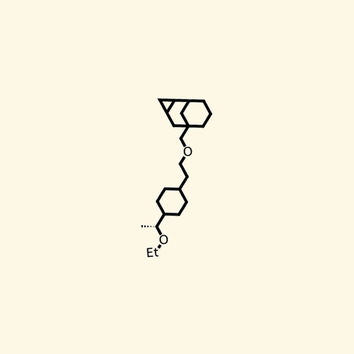 CCO[C@H](C)C1CCC(CCOCC23CCCC(C2)C2CC2C3)CC1